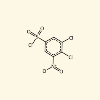 O=[N+]([O-])c1cc(S(=O)(=O)Cl)cc(Cl)c1Cl